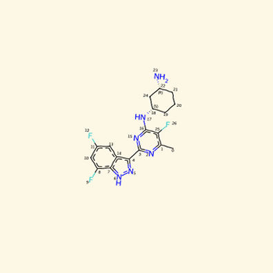 Cc1nc(-c2n[nH]c3c(F)cc(F)cc23)nc(N[C@H]2CCC[C@@H](N)C2)c1F